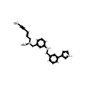 CCCCN(CC=CC#CC(C)(C)C)Cc1cccc(OCc2cccc(-c3ccsc3)c2)c1